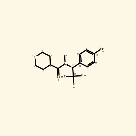 CN(C(=O)C1CCOCC1)[C@@H](c1ccc(Br)cc1)C(F)(F)F